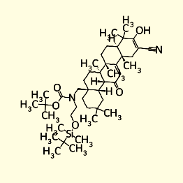 CC1(C)CC[C@]2(CN(CCO[Si](C)(C)C(C)(C)C)C(=O)OC(C)(C)C)CC[C@]3(C)[C@H](C(=O)C=C4[C@@]5(C)CC(C#N)=C(O)C(C)(C)[C@@H]5CC[C@]43C)[C@@H]2C1